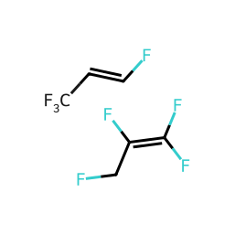 FC=CC(F)(F)F.FCC(F)=C(F)F